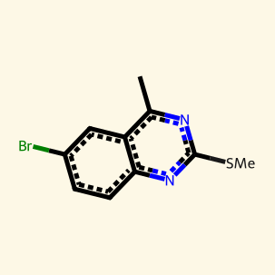 CSc1nc(C)c2cc(Br)ccc2n1